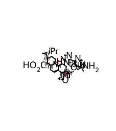 CC(C)[C@@H](C)[C@@]1(C)CC[C@]2(C)[C@H]3CC[C@H]4[C@]5(C)CO[C@@H](C)[C@@]4(C[C@@H](n4ncnc4-c4ccncn4)[C@@H]5OCC(C)(N)C(C)(C)C)C3=CC[C@@]2(C)[C@@H]1C(=O)O